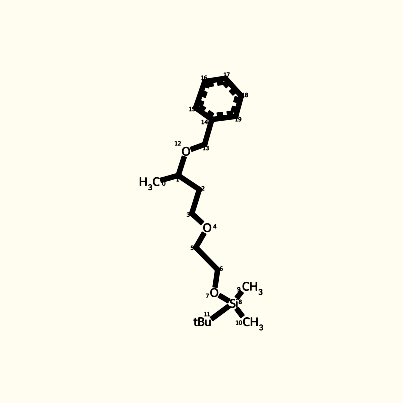 CC(CCOCCO[Si](C)(C)C(C)(C)C)OCc1ccccc1